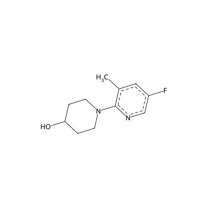 Cc1cc(F)cnc1N1CCC(O)CC1